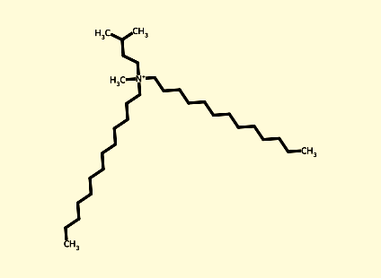 CCCCCCCCCCCCC[N+](C)(CCCCCCCCCCCCC)CCC(C)C